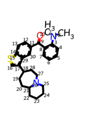 CN(C)c1ccccc1C(=O)c1ccc2scc(C3CCC4CCCCN4CC3)c2c1